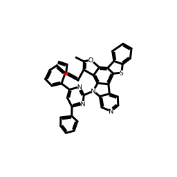 C=C/C=C\c1c(C)oc2c1c1c(c3ccncc3n1-c1nc(-c3ccccc3)cc(-c3ccccc3)n1)c1sc3ccccc3c21